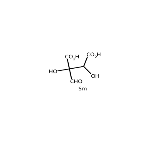 O=CC(O)(C(=O)O)C(O)C(=O)O.[Sm]